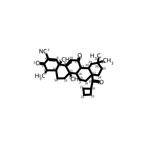 CC1C(=O)C(C#N)=CC2(C)C3=CC(=O)C4C(CCC5(C(=O)C6CCC6)CCC(C)(C)CC45)C3(C)CCC12